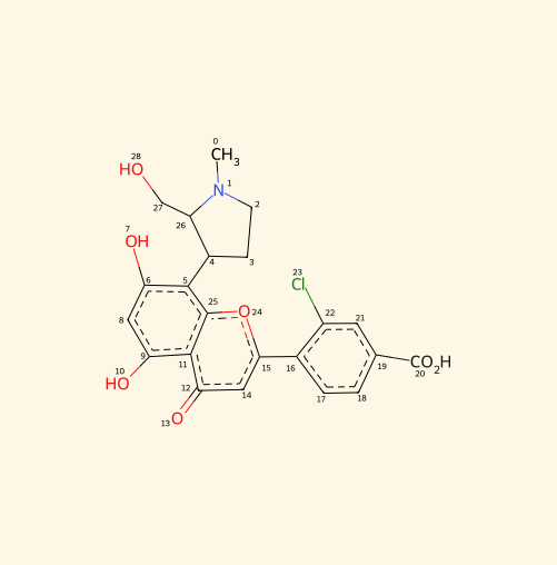 CN1CCC(c2c(O)cc(O)c3c(=O)cc(-c4ccc(C(=O)O)cc4Cl)oc23)C1CO